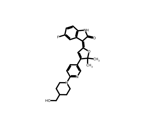 CC1(C)OC(=C2C(=O)Nc3ccc(F)cc32)C=C1c1ccc(N2CCC(CO)CC2)nc1